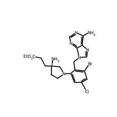 CCOC(=O)CC[C@@]1(N)CCN(c2cc(Cl)cc(Br)c2Cn2cnc3c(N)ncnc32)C1